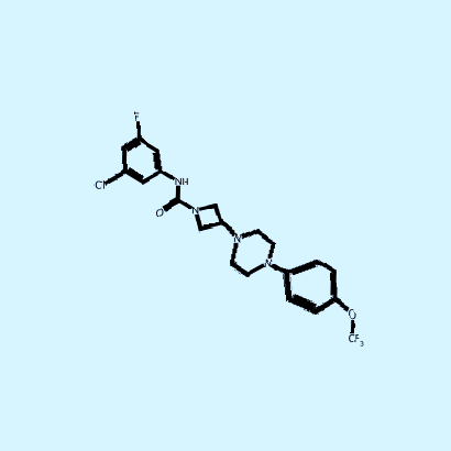 O=C(Nc1cc(F)cc(Cl)c1)N1CC(N2CCN(c3ccc(OC(F)(F)F)cc3)CC2)C1